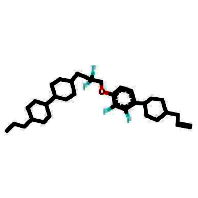 C=CCC1CCC(c2ccc(OCC(F)(F)CC3CCC(C4CCC(CCC)CC4)CC3)c(F)c2F)CC1